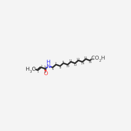 CC=CC(=O)NCCCCCCCCCCCC(=O)O